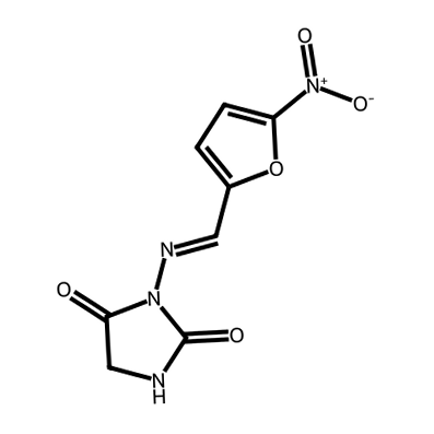 O=C1CNC(=O)N1N=Cc1ccc([N+](=O)[O-])o1